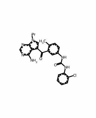 Cc1ccc(NC(=O)Nc2ccccc2Cl)cc1C(=O)c1cn(C(C)C)c2ncnc(N)c12